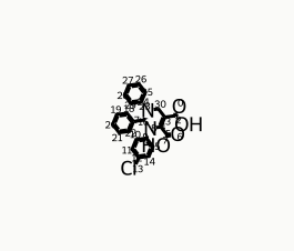 O=C(O)C1=C(C(=O)O)N(c2ccc(Cl)cc2)C(c2ccccc2)N(c2ccccc2)C1